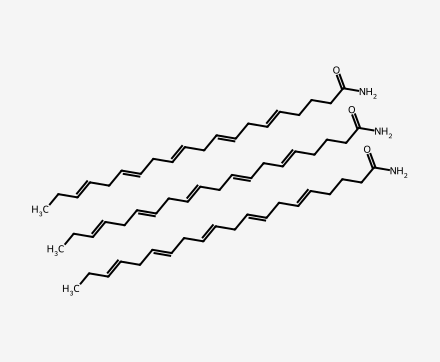 CCC=CCC=CCC=CCC=CCC=CCCCC(N)=O.CCC=CCC=CCC=CCC=CCC=CCCCC(N)=O.CCC=CCC=CCC=CCC=CCC=CCCCC(N)=O